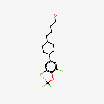 Fc1cc([C@H]2CC[C@H](CCCCBr)CC2)cc(F)c1OC(F)(F)F